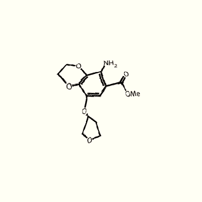 COC(=O)c1cc(O[C@H]2CCOC2)c2c(c1N)OCCO2